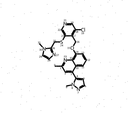 Cc1cc(-c2ccnn2C)c2cccc(OCc3c(Cl)cncc3SCc3nccn3C)c2n1